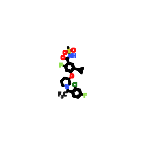 CS(=O)(=O)NC(=O)c1cc(C2CC2)c(O[C@@H]2CCCN(C(c3ccc(F)cc3Cl)C(F)(F)F)C2)cc1F